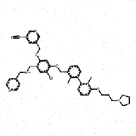 Cc1c(COc2cc(OCc3cncc(C#N)c3)c(CNCc3ccncc3)cc2Cl)cccc1-c1cccc(OCCCN2CCCC2)c1C